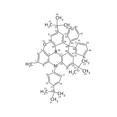 Cc1cc2c3c(c1)N(c1ccc(C(C)(C)C)cc1)c1cc(C(C)(C)C)cc4c1B3c1c(cc(C(C)(C)C)cc1C4(c1ccccc1)c1ccccc1)O2